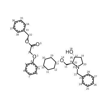 O=C(COc1ccccc1[C@H]1CC[C@@H](OC[C@H]2[C@H](O)CCN2Cc2ccccc2)CC1)OCc1ccccc1